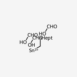 CCCCCCC[CH2][Sn+3].O=[C-]O.O=[C-]O.O=[C-]O